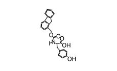 O=C(O)C(Cc1ccc(O)cc1)N(I)C(=O)OCc1cccc2c1Cc1ccccc1-2